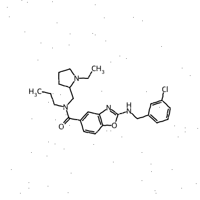 CCCN(CC1CCCN1CC)C(=O)c1ccc2oc(NCc3cccc(Cl)c3)nc2c1